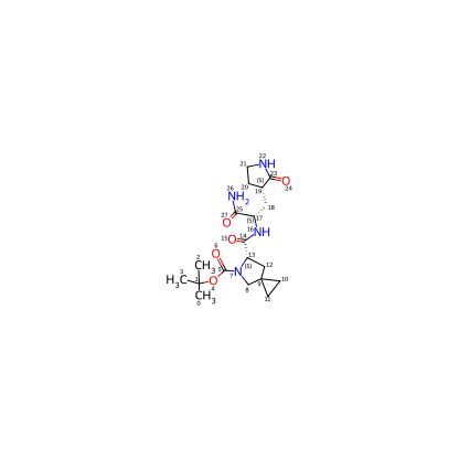 CC(C)(C)OC(=O)N1CC2(CC2)C[C@H]1C(=O)N[C@@H](C[C@@H]1CCNC1=O)C(N)=O